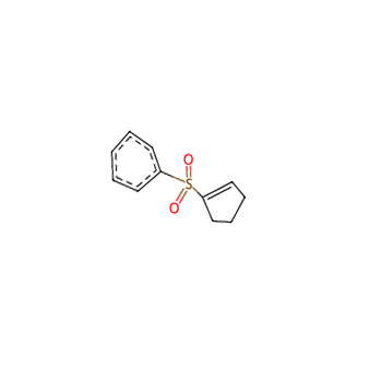 O=S(=O)(C1=CCCC1)c1ccccc1